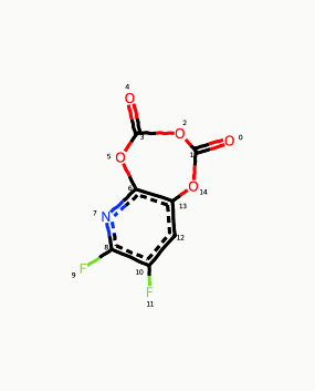 O=C1OC(=O)Oc2nc(F)c(F)cc2O1